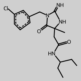 CCC(CC)NC(=O)CC1(C)NC(=N)N(Cc2cccc(Cl)c2)C1=O